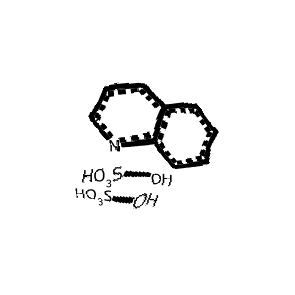 O=S(=O)(O)O.O=S(=O)(O)O.c1ccc2ncccc2c1